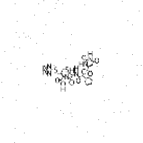 Cn1nnnc1SCC1=C(C(=O)O)N2C(=O)[C@@H](NC(=O)C(OC(=O)c3cc(=O)[nH]c(=O)[nH]3)c3ccccc3)[C@@H]2SC1